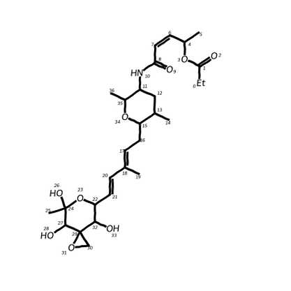 CCC(=O)OC(C)/C=C\C(=O)NC1CC(C)C(C/C=C(C)/C=C/C2OC(C)(O)C(O)C3(CO3)C2O)OC1C